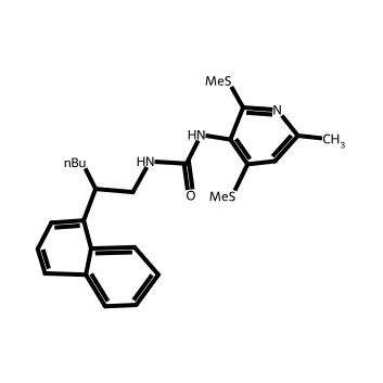 CCCCC(CNC(=O)Nc1c(SC)cc(C)nc1SC)c1cccc2ccccc12